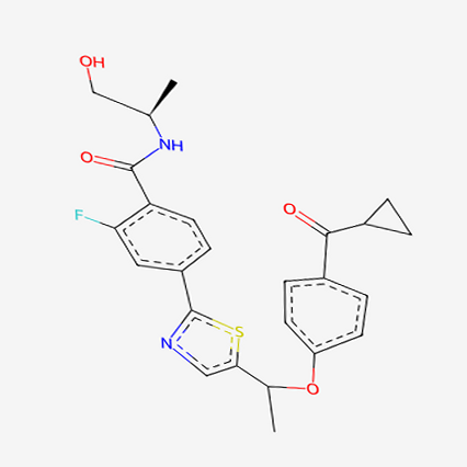 CC(Oc1ccc(C(=O)C2CC2)cc1)c1cnc(-c2ccc(C(=O)N[C@H](C)CO)c(F)c2)s1